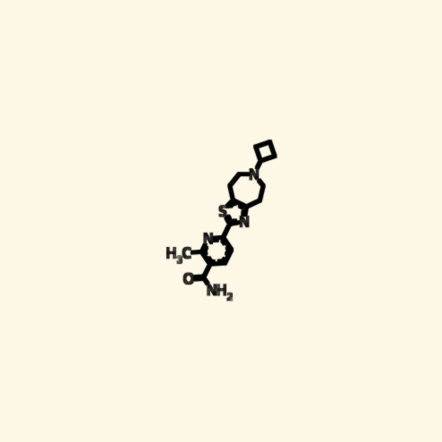 Cc1nc(-c2nc3c(s2)CCN(C2CCC2)CC3)ccc1C(N)=O